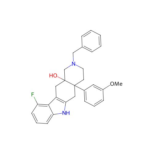 COc1cccc(C23CCN(Cc4ccccc4)CC2(O)Cc2c([nH]c4cccc(F)c24)C3)c1